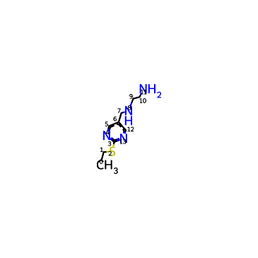 CCSc1ncc(CNCCN)cn1